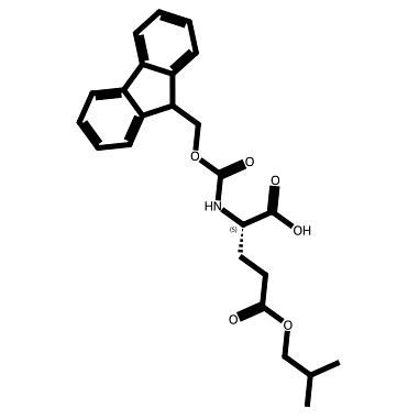 CC(C)COC(=O)CC[C@H](NC(=O)OCC1c2ccccc2-c2ccccc21)C(=O)O